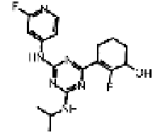 CC(C)Nc1nc(Nc2ccnc(F)c2)nc(C2=C(F)C(O)CCC2)n1